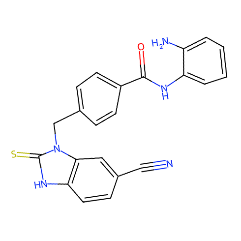 N#Cc1ccc2[nH]c(=S)n(Cc3ccc(C(=O)Nc4ccccc4N)cc3)c2c1